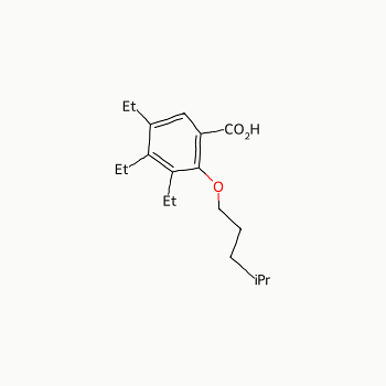 CCc1cc(C(=O)O)c(OCCCC(C)C)c(CC)c1CC